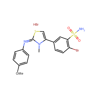 Br.COc1ccc(N=c2scc(-c3ccc(Br)c(S(N)(=O)=O)c3)n2C)cc1